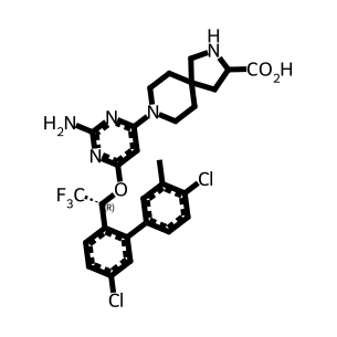 Cc1cc(-c2cc(Cl)ccc2[C@@H](Oc2cc(N3CCC4(CC3)CNC(C(=O)O)C4)nc(N)n2)C(F)(F)F)ccc1Cl